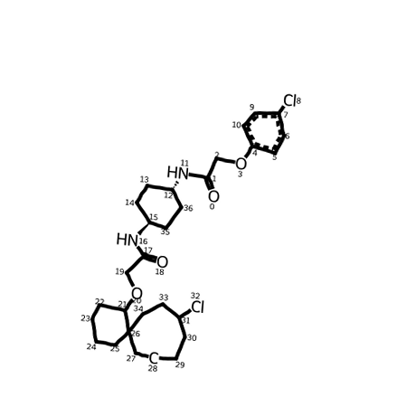 O=C(COc1ccc(Cl)cc1)N[C@H]1CC[C@H](NC(=O)COC2CCCCC23CCCCC(Cl)CC3)CC1